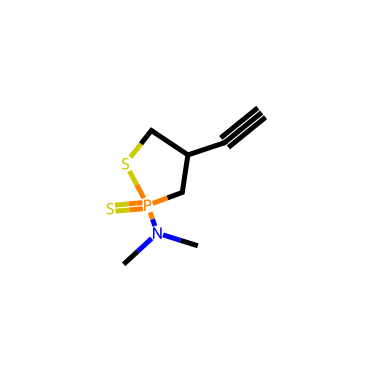 C#CC1CSP(=S)(N(C)C)C1